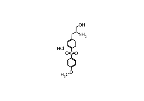 COc1ccc(S(=O)(=O)c2ccc(C[C@H](N)CO)cc2)cc1.Cl